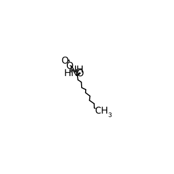 CCCCCCCCCCC(=O)NNOC=O